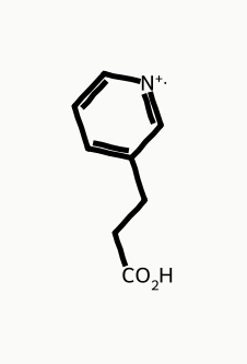 O=C(O)CCC1=CC=C[N+]=C1